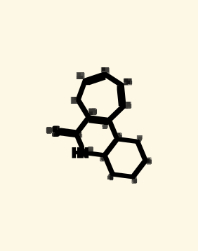 S=C1NC2CCCCC2C2=C1CC=CC=C2